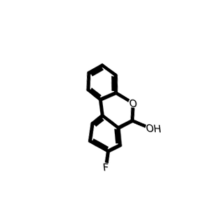 OC1Oc2ccccc2-c2ccc(F)cc21